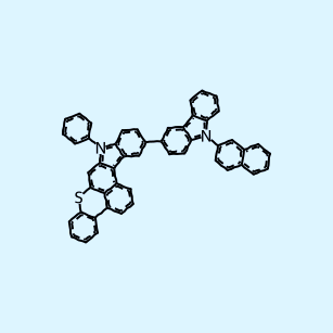 c1ccc(-n2c3ccc(-c4ccc5c(c4)c4ccccc4n5-c4ccc5ccccc5c4)cc3c3c4cccc5c4c(cc32)Sc2ccccc2-5)cc1